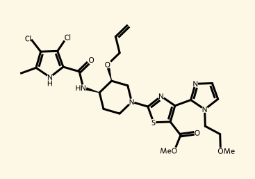 C=CCO[C@H]1CN(c2nc(-c3nccn3CCOC)c(C(=O)OC)s2)CC[C@H]1NC(=O)c1[nH]c(C)c(Cl)c1Cl